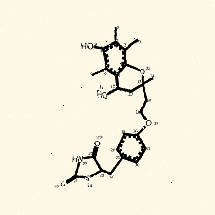 Cc1c(C)c2c(c(C)c1O)C(O)CC(C)(CCOc1ccc(CC3SC(=O)NC3=O)cc1)O2